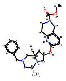 C[C@@H]1CN(Cc2ccccc2)C[C@@H]2CC(Oc3ccc4c(n3)CCN(C(=O)OC(C)(C)C)C4)CN21